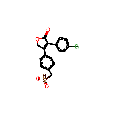 O=C1OCC(c2ccc(C[SH](=O)=O)cc2)=C1c1ccc(Br)cc1